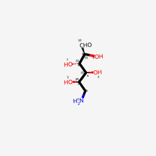 NC[C@@H](O)[C@H](O)[C@H](O)[C@H](O)C=O